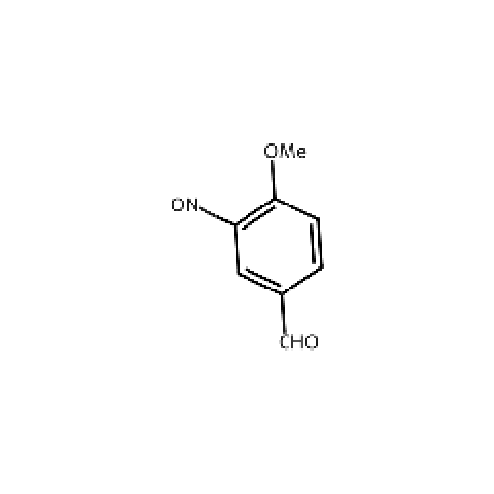 COc1ccc(C=O)cc1N=O